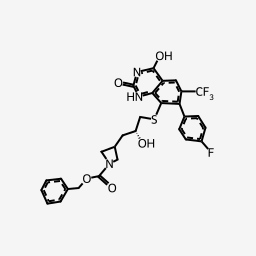 O=C(OCc1ccccc1)N1CC(C[C@@H](O)CSc2c(-c3ccc(F)cc3)c(C(F)(F)F)cc3c(O)nc(=O)[nH]c23)C1